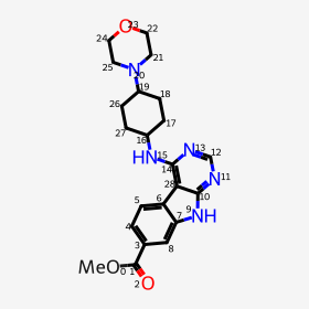 COC(=O)c1ccc2c(c1)[nH]c1ncnc(NC3CCC(N4CCOCC4)CC3)c12